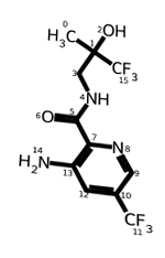 CC(O)(CNC(=O)c1ncc(C(F)(F)F)cc1N)C(F)(F)F